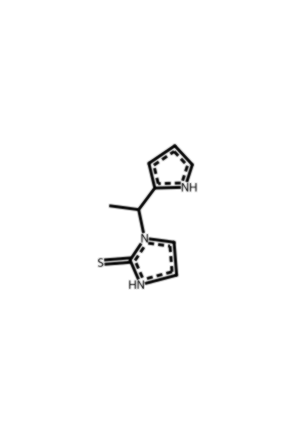 CC(c1ccc[nH]1)n1cc[nH]c1=S